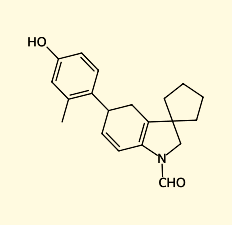 Cc1cc(O)ccc1C1C=CC2=C(C1)C1(CCCC1)CN2C=O